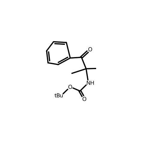 CC(C)(C)OC(=O)NC(C)(C)C(=O)c1ccccc1